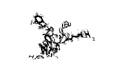 C=CCCCCC[C@H](NC(=O)OC(C)(C)C)C(=O)N1C[C@H](OC(=O)N2Cc3cccc(F)c3C2)C[C@H]1C(=O)N(C)[C@]1(C(=O)OCC)C[C@H]1C=C